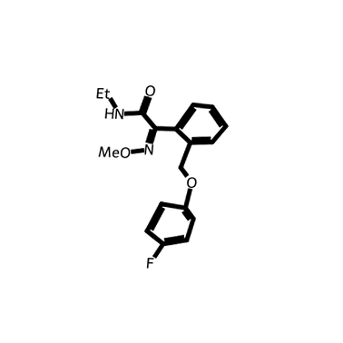 CCNC(=O)C(=NOC)c1ccccc1COc1ccc(F)cc1